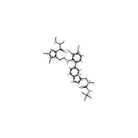 CON(C)C(=O)c1nn(C)c(C)c1CCOc1c(-c2ccc3ncc(CN(C)C(=O)OC(C)(C)C)n3c2)ccc(F)c1F